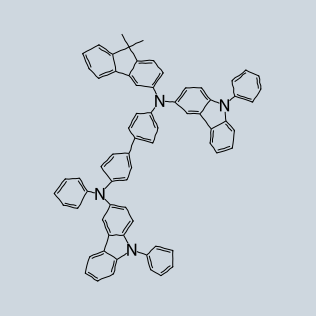 CC1(C)c2ccccc2-c2cc(N(c3ccc(-c4ccc(N(c5ccccc5)c5ccc6c(c5)c5ccccc5n6-c5ccccc5)cc4)cc3)c3ccc4c(c3)c3ccccc3n4-c3ccccc3)ccc21